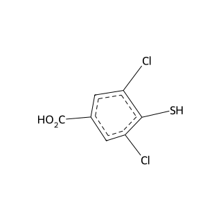 O=C(O)c1cc(Cl)c(S)c(Cl)c1